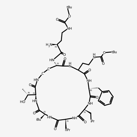 CCC[C@@H]1NC(=O)[C@H](CC(C)C)NC(=O)[C@@H](Cc2ccccc2)NC(=O)C(CCNC(=O)OC(C)(C)C)NC(=O)[C@@H](NC(=O)[C@@H](N)CCNC(=O)OC(C)(C)C)CCNC(=O)[C@H]([C@@H](C)O)NC(=O)[C@H](C(C)CC)NC1=O